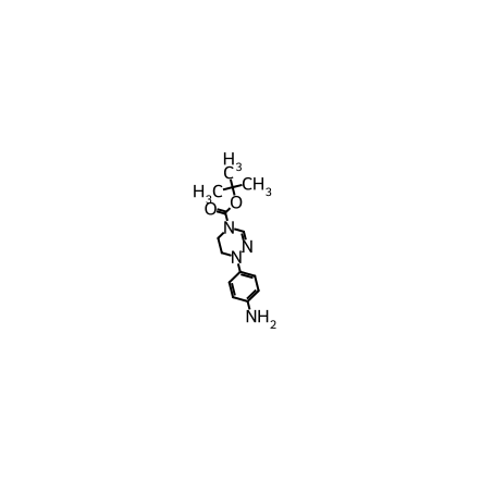 CC(C)(C)OC(=O)N1C=NN(c2ccc(N)cc2)CC1